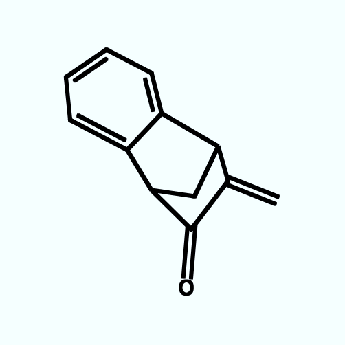 C=C1C(=O)C2CC1c1ccccc12